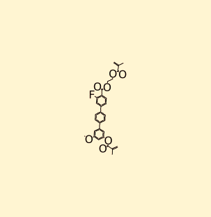 C=C(C)C(=O)OCCOC(=O)c1ccc(-c2ccc(-c3cc(OC)cc(OC(=O)C(=C)C)c3)cc2)cc1F